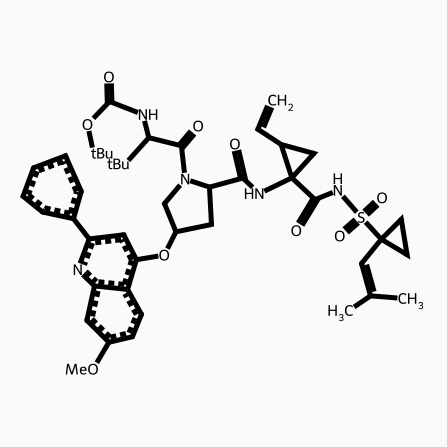 C=CC1CC1(NC(=O)C1CC(Oc2cc(-c3ccccc3)nc3cc(OC)ccc23)CN1C(=O)C(NC(=O)OC(C)(C)C)C(C)(C)C)C(=O)NS(=O)(=O)C1(C=C(C)C)CC1